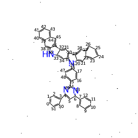 c1ccc(-c2cc(-c3ccccc3)nc(-c3ccc(-n4c5cc6ccccc6cc5c5cc6c(cc54)[nH]c4cc5ccccc5cc46)cc3)n2)cc1